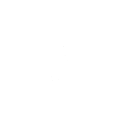 CNCc1cc(OCc2cc(C)ccc2CF)n(CC2CCCCC2)n1